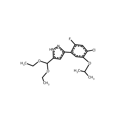 CCOC(OCC)c1cc(-c2cc(OC(C)C)c(Cl)cc2F)n[nH]1